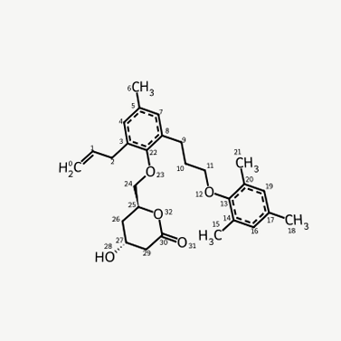 C=CCc1cc(C)cc(CCCOc2c(C)cc(C)cc2C)c1OC[C@@H]1C[C@@H](O)CC(=O)O1